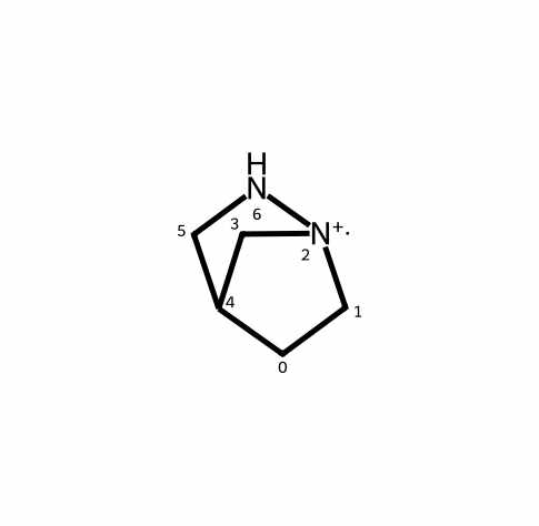 C1C[N+]2CC1CN2